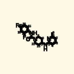 Cc1cccc(NC2CCN(C(=O)Nc3ccc(F)cc3F)CC2)n1